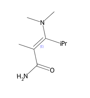 C/C(C(N)=O)=C(/C(C)C)N(C)C